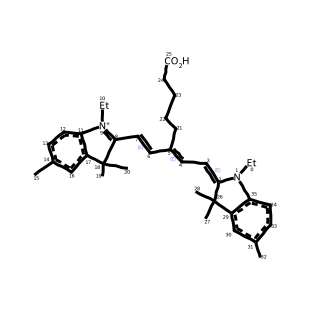 CCN1/C(=C/C=C(/C=C/C2=[N+](CC)c3ccc(C)cc3C2(C)C)CCCCC(=O)O)C(C)(C)c2cc(C)ccc21